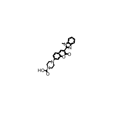 Cn1c(-c2cc3ccc(N4CCN(C(=O)O)CC4)cc3oc2=O)nc2ccccc21